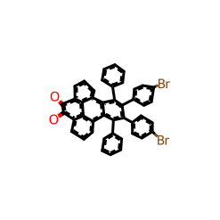 O=c1c(=O)c2cccc3c4c(-c5ccccc5)c(-c5ccc(Br)cc5)c(-c5ccc(Br)cc5)c(-c5ccccc5)c4c4cccc1c4c23